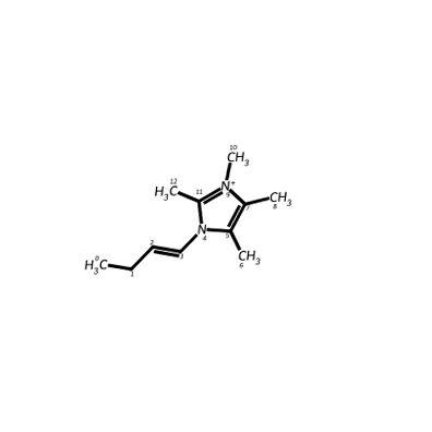 CCC=Cn1c(C)c(C)[n+](C)c1C